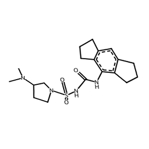 CN(C)C1CCN(S(=O)(=O)NC(=O)Nc2c3c(cc4c2CCC4)CCC3)C1